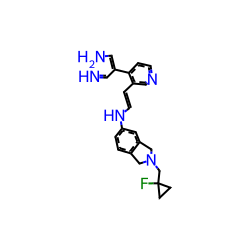 N=C/C(=C\N)c1ccncc1/C=C/Nc1ccc2c(c1)CN(CC1(F)CC1)C2